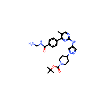 Cc1cnc(Nc2cnn(C3CCN(C(=O)OC(C)(C)C)CC3)c2)nc1-c1ccc(C(=O)NCN)cc1